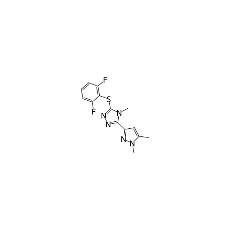 Cc1cc(-c2nnc(Sc3c(F)cccc3F)n2C)nn1C